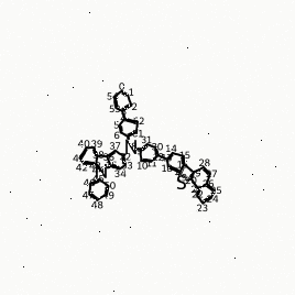 c1ccc(-c2ccc(N(c3ccc(-c4ccc5c(c4)sc4c6ccccc6ccc54)cc3)c3ccc4c(c3)c3ccccc3n4-c3ccccc3)cc2)cc1